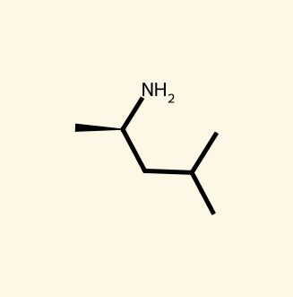 CC(C)C[C@@H](C)N